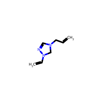 C=CCN1C=NN(C=C)C1